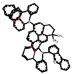 CC(C)c1cc(N(c2ccccc2C2C=CC=CC2)c2cccc3c2oc2ccccc23)c2cc3c4c(cc(N(c5ccccc5-c5ccccc5)c5cccc6c5oc5ccccc56)c5ccc1c2c54)CCC3(C)C